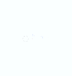 Cc1ccccc1C(=O)NC(C)CN1CCOCC1